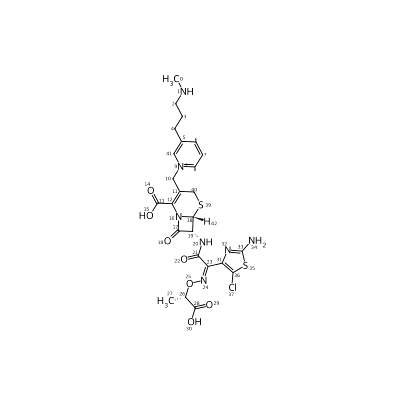 CNCCCc1ccc[n+](CC2=C(C(=O)O)N3C(=O)[C@@H](NC(=O)/C(=N\O[C@@H](C)C(=O)O)c4nc(N)sc4Cl)[C@H]3SC2)c1